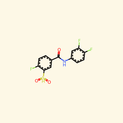 O=C(Nc1ccc(F)c(F)c1)c1ccc(F)c([SH](=O)=O)c1